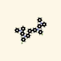 Fc1ccc(N(c2ccc(-c3cccc(-c4cccc(N(c5ccc(F)cc5)c5ccc6c(c5)c5ccccc5n6-c5ccccc5)c4)c3)cc2)c2ccc3c(c2)c2ccccc2n3-c2ccccc2)cc1